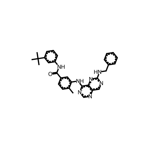 Cc1ccc(C(=O)Nc2cccc(C(C)(C)C)c2)cc1Nc1ncnc2cnc(NCc3ccccc3)nc12